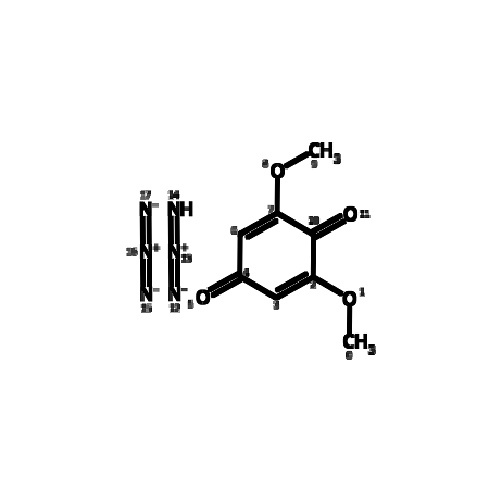 COC1=CC(=O)C=C(OC)C1=O.[N-]=[N+]=N.[N-]=[N+]=[N-]